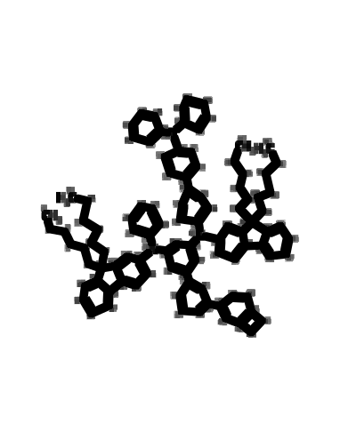 CCCCCCC1(CCCCCC)c2ccccc2-c2ccc(N(c3ccccc3)c3cc(-c4cccc(-c5ccc6c(c5)CC6)c4)cc(N(c4ccc(-c5ccc(N(c6ccccc6)c6ccccc6)cc5)cc4)c4ccc5c(c4)C(CCCCCC)(CCCCCC)c4ccccc4-5)c3)cc21